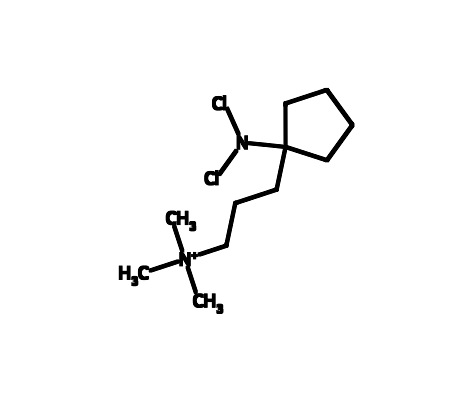 C[N+](C)(C)CCCC1(N(Cl)Cl)CCCC1